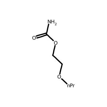 CCCOCCOC(N)=O